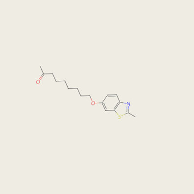 CC(=O)CCCCCCCOc1ccc2nc(C)sc2c1